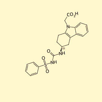 O=C(O)Cn1c2c(c3ccccc31)C[C@@H](NC(=O)NS(=O)(=O)c1ccccc1)CC2